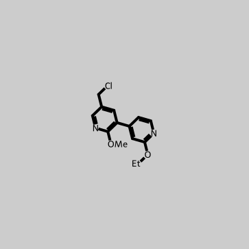 CCOc1cc(-c2cc(CCl)cnc2OC)ccn1